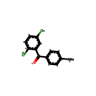 CSc1ccc(C(=O)c2cc(Cl)ccc2Cl)cc1